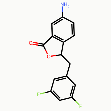 Nc1ccc2c(c1)C(=O)OC2Cc1cc(F)cc(F)c1